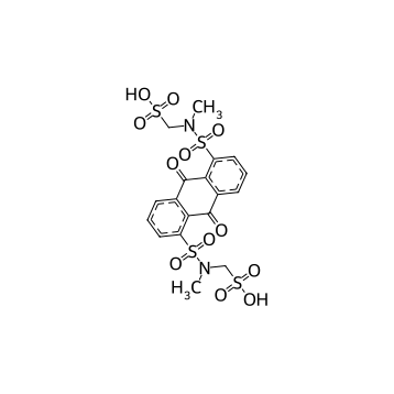 CN(CS(=O)(=O)O)S(=O)(=O)c1cccc2c1C(=O)c1cccc(S(=O)(=O)N(C)CS(=O)(=O)O)c1C2=O